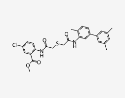 COC(=O)c1cc(Cl)ccc1NC(=O)CSCC(=O)Nc1cc(-c2cc(C)cc(C)c2)ccc1C